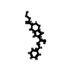 CCCNC1CCc2nn(C(=O)OCc3ccccc3)cc2C1